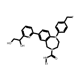 CCNC(=O)N1CCN(c2ccc(CF)cc2)c2ccc(-c3cccc(C(O)CO)n3)cc2C1